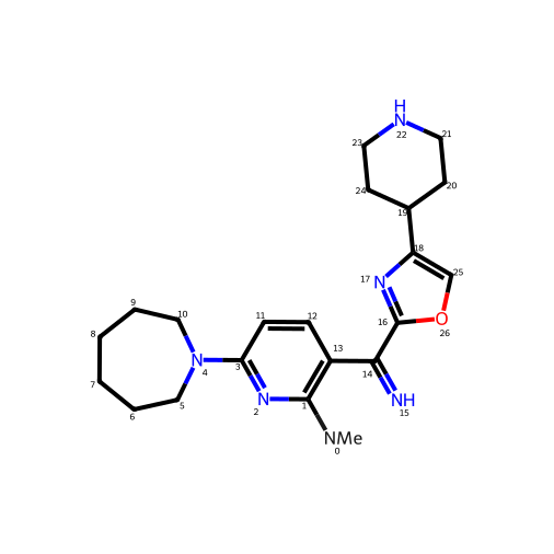 CNc1nc(N2CCCCCC2)ccc1C(=N)c1nc(C2CCNCC2)co1